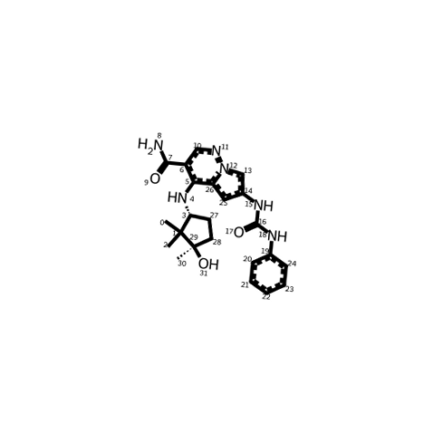 CC1(C)[C@H](Nc2c(C(N)=O)cnn3cc(NC(=O)Nc4ccccc4)cc23)CC[C@@]1(C)O